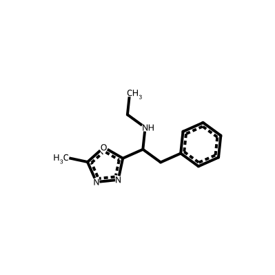 CCNC(Cc1ccccc1)c1nnc(C)o1